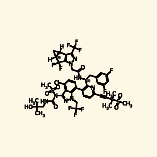 CC(C)(O)CNC(=O)N(c1nn(CC(F)(F)F)c2c(-c3ccc(C#CC(C)(C)S(C)(=O)=O)nc3[C@H](Cc3cc(F)cc(F)c3)NC(=O)Cn3nc(C(F)(F)F)c4c3C(F)(F)[C@@H]3C[C@H]43)ccc(Cl)c12)S(C)(=O)=O